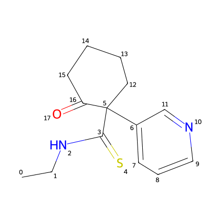 CCNC(=S)C1(c2cccnc2)CCCCC1=O